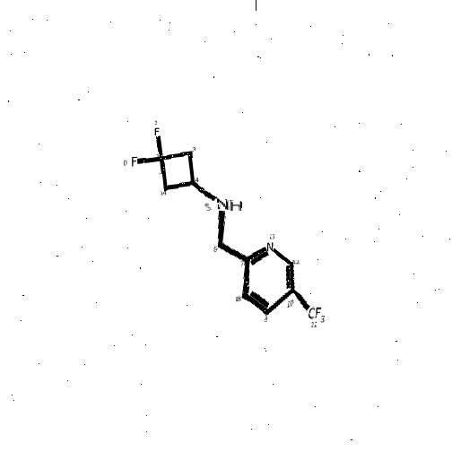 FC1(F)CC(NCc2ccc(C(F)(F)F)cn2)C1